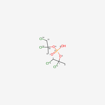 CC(Cl)(CCl)OP(=O)(O)OC(C)(Cl)CCl